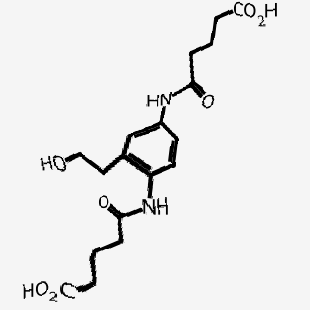 O=C(O)CCCC(=O)Nc1ccc(NC(=O)CCCC(=O)O)c(CCO)c1